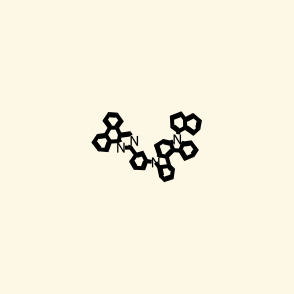 c1cc(-c2ncc3c4ccccc4c4ccccc4c3n2)cc(-n2c3ccccc3c3c4c5ccccc5n(-c5cccc6ccccc56)c4ccc32)c1